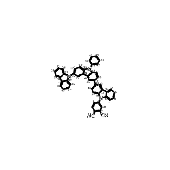 N#Cc1ccc(-n2c3ccccc3c3cc(-c4ccc5c(c4)c4cc(-n6c7ccccc7c7ccccc76)ccc4n5-c4ccccc4)ccc32)cc1C#N